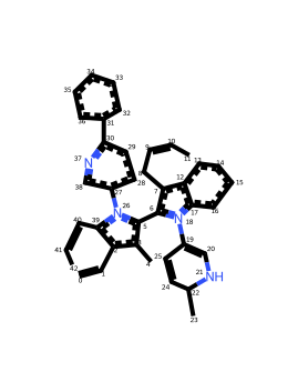 C=Cc1c(C)c(-c2c(C/C=C\C)c3ccccc3n2C2=CNC(C)C=C2)n(-c2ccc(-c3ccccc3)nc2)c1/C=C\C